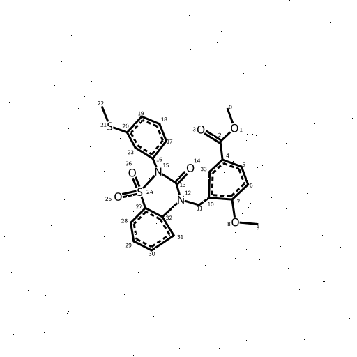 COC(=O)c1ccc(OC)c(CN2C(=O)N(c3cccc(SC)c3)S(=O)(=O)c3ccccc32)c1